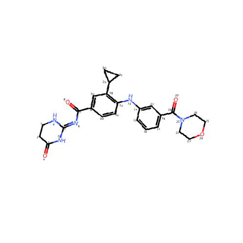 O=C1CCN/C(=N\C(=O)c2ccc(Nc3cccc(C(=O)N4CCOCC4)c3)c(C3CC3)c2)N1